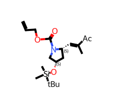 C=CCOC(=O)N1C[C@@H](O[Si](C)(C)C(C)(C)C)C[C@H]1C=C(C)C(C)=O